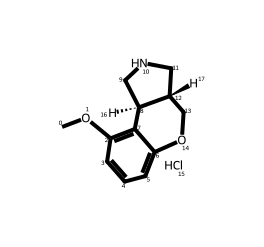 COc1cccc2c1[C@H]1CNC[C@@H]1CO2.Cl